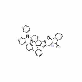 O=C1/C(=C\c2cc3c(s2)C2=CCC(N(c4ccccc4)c4ccccc4)N=C2C32c3ccccc3-c3ccccc32)C(=O)c2cnccc21